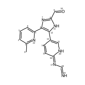 Cc1cccc(-c2nc(C=O)[nH]c2-c2cc/c(=N/C=N)[nH]c2)n1